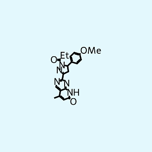 CCC(=O)N1N=C(c2ncc3c(C)cc(=O)[nH]c3n2)CC1c1ccc(OC)cc1